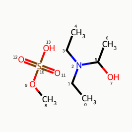 CCN(CC)C(C)O.COS(=O)(=O)O